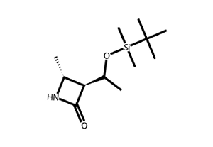 CC(O[Si](C)(C)C(C)(C)C)[C@H]1C(=O)N[C@@H]1C